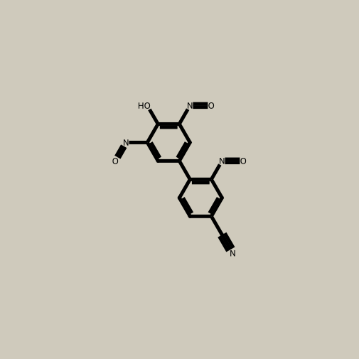 N#Cc1ccc(-c2cc(N=O)c(O)c(N=O)c2)c(N=O)c1